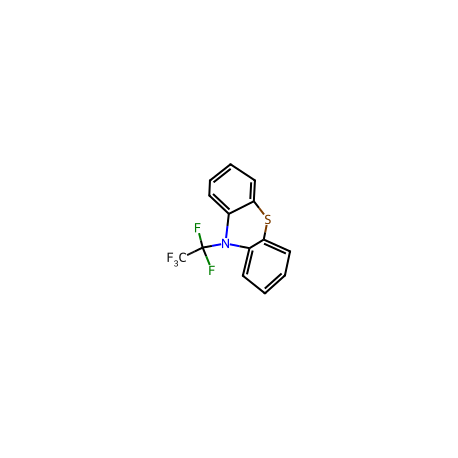 FC(F)(F)C(F)(F)N1c2ccccc2Sc2ccccc21